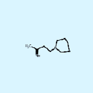 CC(=N)CCN1CCCCC1